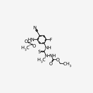 CCOC(=O)NN(C)C(=S)Nc1cc(NS(C)(=O)=O)c(C#N)cc1F